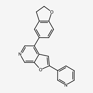 c1cncc(-c2cc3c(-c4ccc5c(c4)CCO5)cncc3o2)c1